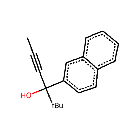 CC#CC(O)(c1ccc2ccccc2c1)C(C)(C)C